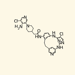 Nc1c(Cl)cncc1N1CCC(CC(=O)Nc2ccc3cc2CCc2cncc(c2)Nc2ncc(Cl)c(n2)N3)CC1